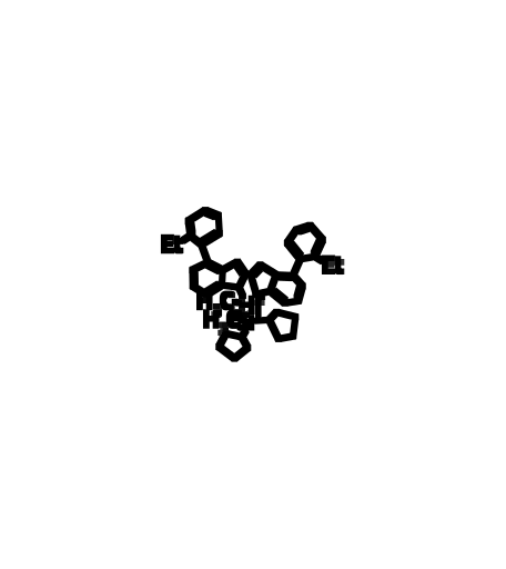 CCc1ccccc1-c1cccc2c1C=C[CH]2[Hf]([CH3])([CH3])([CH]1C=Cc2c(-c3ccccc3CC)cccc21)=[Si](C1CCCC1)C1CCCC1